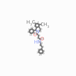 Cc1cc(C)c2c(c1)C(c1ccccc1)N(C(=O)CCC(=O)NCCCc1ccccc1)CC2